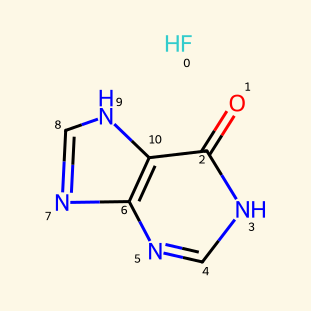 F.O=c1[nH]cnc2nc[nH]c12